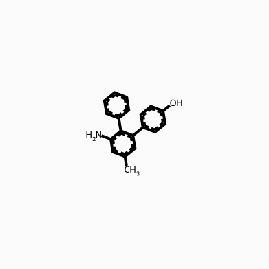 Cc1cc(N)c(-c2ccccc2)c(-c2ccc(O)cc2)c1